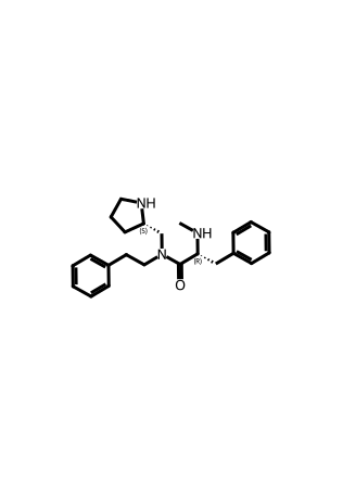 CN[C@H](Cc1ccccc1)C(=O)N(CCc1ccccc1)C[C@@H]1CCCN1